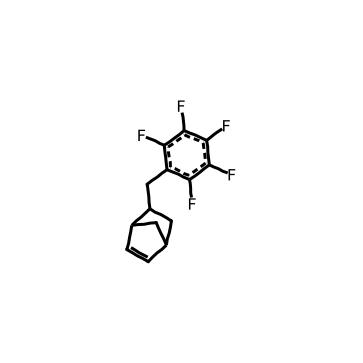 Fc1c(F)c(F)c(CC2CC3C=CC2C3)c(F)c1F